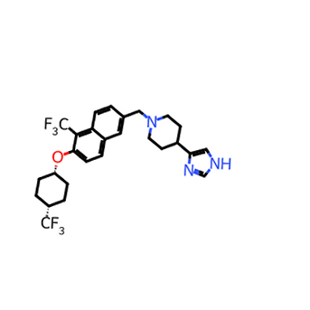 FC(F)(F)c1c(O[C@H]2CC[C@@H](C(F)(F)F)CC2)ccc2cc(CN3CCC(c4c[nH]cn4)CC3)ccc12